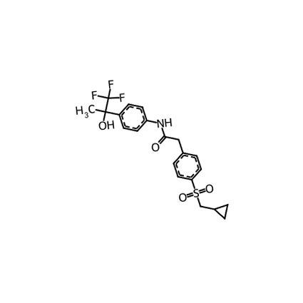 CC(O)(c1ccc(NC(=O)Cc2ccc(S(=O)(=O)CC3CC3)cc2)cc1)C(F)(F)F